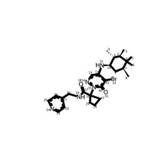 C[C@@H]1[C@@H](C)C(C)(C)[C@@H](C)C[C@H]1Nc1cnn(C2(C(=O)NCc3ccncc3)CCC2)c(=O)c1Br